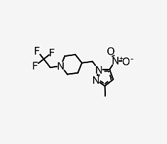 Cc1cc([N+](=O)[O-])n(CC2CCN(CC(F)(F)F)CC2)n1